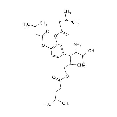 CC(C)CCC(=O)OCC(C)C(c1ccc(OC(=O)CC(C)C)c(OC(=O)CC(C)C)c1)[C@H](N)C(=O)O